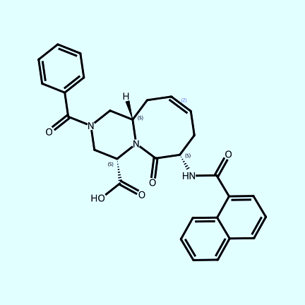 O=C(N[C@H]1C/C=C\C[C@H]2CN(C(=O)c3ccccc3)C[C@@H](C(=O)O)N2C1=O)c1cccc2ccccc12